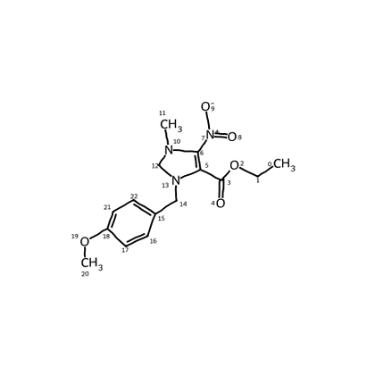 CCOC(=O)C1=C([N+](=O)[O-])N(C)CN1Cc1ccc(OC)cc1